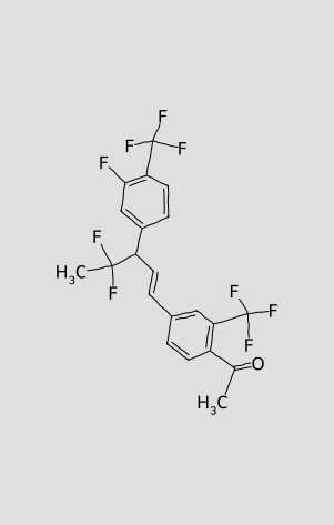 CC(=O)c1ccc(/C=C/C(c2ccc(C(F)(F)F)c(F)c2)C(C)(F)F)cc1C(F)(F)F